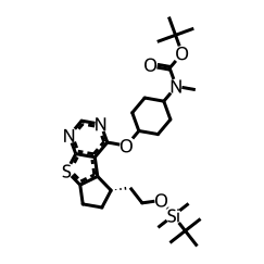 CN(C(=O)OC(C)(C)C)C1CCC(Oc2ncnc3sc4c(c23)[C@H](CCO[Si](C)(C)C(C)(C)C)CC4)CC1